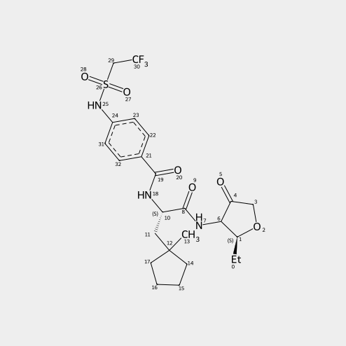 CC[C@@H]1OCC(=O)C1NC(=O)[C@H](CC1(C)CCCC1)NC(=O)c1ccc(NS(=O)(=O)CC(F)(F)F)cc1